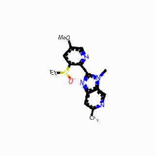 CC[S+]([O-])c1cc(OC)cnc1-c1nc2cc(C(F)(F)F)ncc2n1C